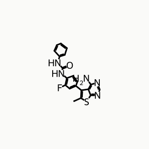 Cc1sc2ncnc(N)c2c1-c1ccc(NC(=O)Nc2ccccc2)c(F)c1